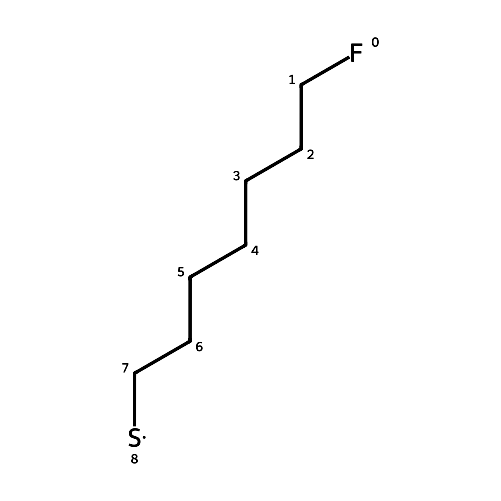 FCCCCCCC[S]